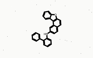 c1ccc(-c2ccccc2Nc2ccc3ccc4oc5ccccc5c4c3c2)cc1